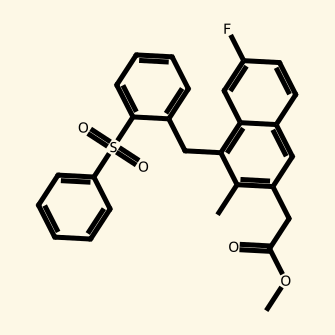 COC(=O)Cc1cc2ccc(F)cc2c(Cc2ccccc2S(=O)(=O)c2ccccc2)c1C